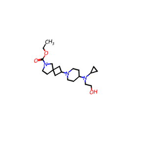 CCOC(=O)N1CCC2(CC(N3CCC(N(CCO)C4CC4)CC3)C2)C1